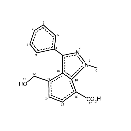 Cn1nc(-c2ccccc2)c2c(CO)ccc(C(=O)O)c21